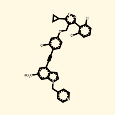 O=C(O)c1cc(C#Cc2ccc(OCc3c(-c4c(Cl)cccc4Cl)noc3C3CC3)cc2Cl)c2ccn(Cc3ccncc3)c2c1